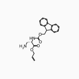 C=CCOC(=O)[C@H](CN)NC(=O)OCC1c2ccccc2-c2ccccc21